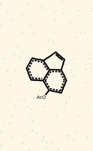 CC(=O)Oc1ccc2c3c(cccc13)C=C2